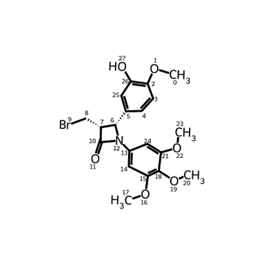 COc1ccc([C@H]2[C@@H](CBr)C(=O)N2c2cc(OC)c(OC)c(OC)c2)cc1O